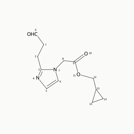 O=CCCc1nccn1CC(=O)OCC1CC1